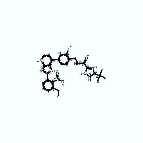 CCc1cccc(-c2nc3c(-c4ccc(CNC(=O)C5=NC(C(C)(C)C)NO5)c(F)c4)ccnc3[nH]2)c1[N+](=O)[O-]